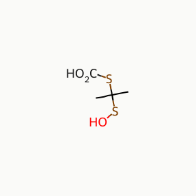 CC(C)(SO)SC(=O)O